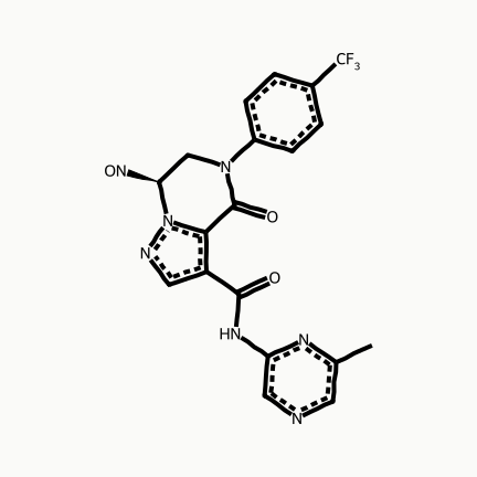 Cc1cncc(NC(=O)c2cnn3c2C(=O)N(c2ccc(C(F)(F)F)cc2)C[C@@H]3N=O)n1